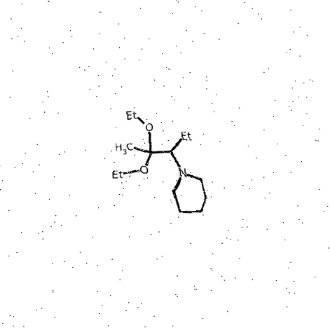 CCOC(C)(OCC)[C](CC)N1CCCCC1